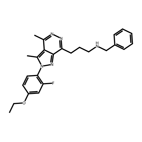 CCOc1ccc(-n2nc3c(CCCNCc4ccccc4)nnc(C)c3c2C)c(F)c1